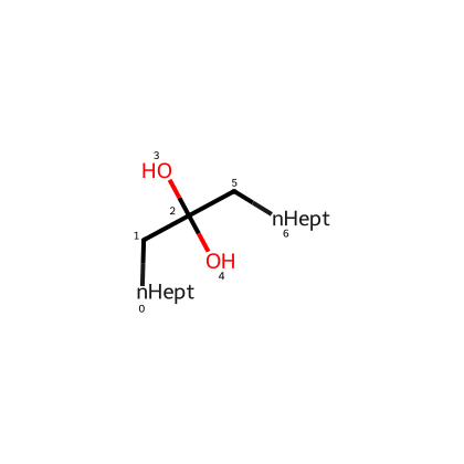 CCCCCCCCC(O)(O)CCCCCCCC